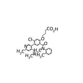 C/N=C\c1cc(C)ncc1-c1cc(C(=O)N(C)c2ccccc2C)c(OCCCC(=O)O)cc1Cl